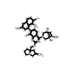 C=C1CN2CCCC2(COc2nc(N3C[C@@H]4C[C@H](C3)[C@H](O)C4)c3cc(F)c(-c4cc(O)cc5ccc(F)c(CC)c45)c(F)c3n2)C1